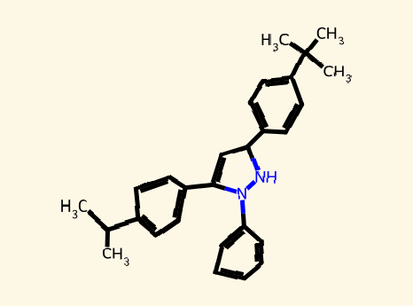 CC(C)c1ccc(C2=CC(c3ccc(C(C)(C)C)cc3)NN2c2ccccc2)cc1